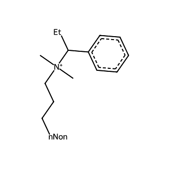 CCCCCCCCCCCC[N+](C)(C)C(CC)c1ccccc1